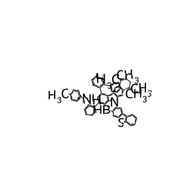 Cc1ccc(Nc2ccccc2-c2cc(-c3ccccc3-c3ccccc3)c3c4cc5c(cc4n4c3c2Bc2cc3sc6ccccc6c3cc2-4)C(C)(C)CCC5(C)C)cc1